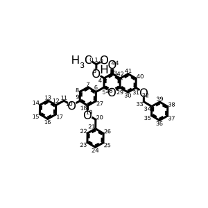 CC(O)Oc1c(-c2ccc(OCc3ccccc3)c(OCc3ccccc3)c2)oc2cc(OCc3ccccc3)ccc2c1=O